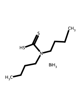 CCCCN(CCCC)C(=S)S.[BiH3]